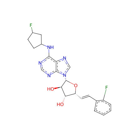 O[C@@H]1[C@@H](O)[C@@H](C=Cc2ccccc2F)O[C@H]1n1cnc2c(NC3CCC(F)C3)ncnc21